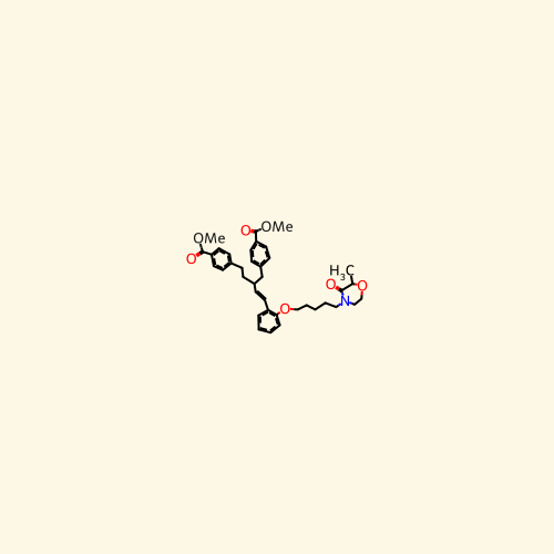 COC(=O)c1ccc(CCC(C=Cc2ccccc2OCCCCCN2CCOC(C)C2=O)Cc2ccc(C(=O)OC)cc2)cc1